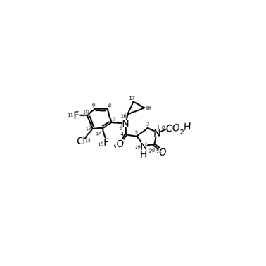 O=C(O)N1CC(C(=O)N(c2ccc(F)c(Cl)c2F)C2CC2)NC1=O